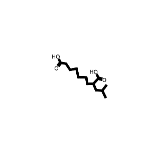 CC(C)CC(CCCCCCC(=O)O)C(=O)O